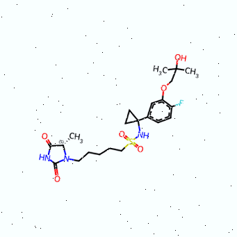 C[C@H]1C(=O)NC(=O)N1CCCCCS(=O)(=O)NC1(c2ccc(F)c(OCC(C)(C)O)c2)CC1